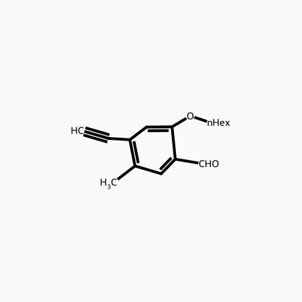 C#Cc1cc(OCCCCCC)c(C=O)cc1C